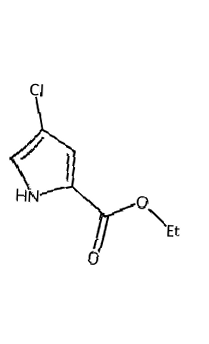 CCOC(=O)c1cc(Cl)c[nH]1